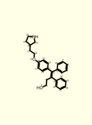 OCCC(=C(c1ccccc1)c1ccc(OCCC2CCNC2)cc1)c1ccccc1